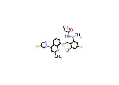 CCC(=O)N[C@@H](C)c1cc(F)cc(Cl)c1COc1cccc2c(-n3cc(F)cn3)cc(C)nc12